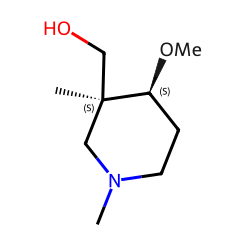 CO[C@H]1CCN(C)C[C@@]1(C)CO